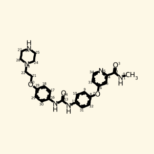 CNC(=O)c1cc(Oc2ccc(NC(=O)Nc3ccc(OCCN4CCNCC4)cc3)cc2)ccn1